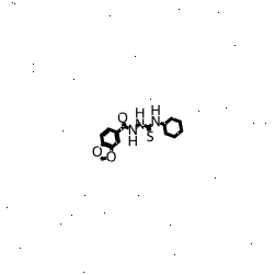 O=C(NNC(=S)NC1CCCCC1)c1ccc2c(c1)OCO2